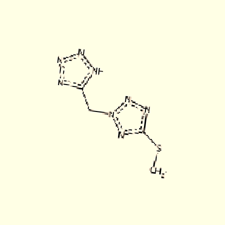 [CH2]Sc1nnn(Cc2nnn[nH]2)n1